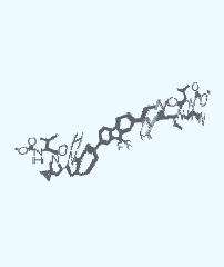 CC[C@@H](c1ncc(-c2ccc3c(c2)C(F)(F)c2cc(-c4ccc5cc([C@@H]6CC7(CC7)CN6C(=O)[C@@H](NC(=O)OC)C(C)C)[nH]c5c4)ccc2-3)[nH]1)N(CCC#N)C(=O)[C@@H](NC(=O)OC)C(C)C